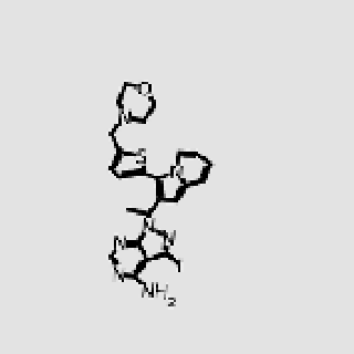 CC(c1cc2ccccn2c1-c1ccc(CN2CCOCC2)s1)n1nc(I)c2c(N)ncnc21